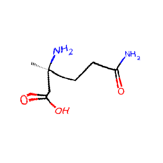 C[C@](N)(CCC(N)=O)C(=O)O